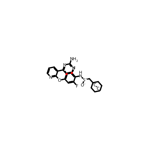 Nc1nccc(-c2cccnc2Oc2cc(F)c(N[S+]([O-])CC34CCC(CC3)CC4)c(F)c2F)n1